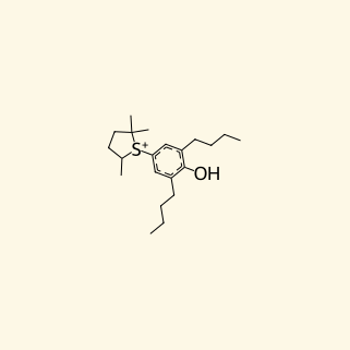 CCCCc1cc([S+]2C(C)CCC2(C)C)cc(CCCC)c1O